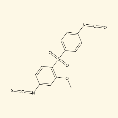 COc1cc(N=C=S)ccc1S(=O)(=O)c1ccc(N=C=O)cc1